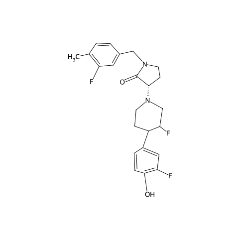 Cc1ccc(CN2CC[C@H](N3CCC(c4ccc(O)c(F)c4)C(F)C3)C2=O)cc1F